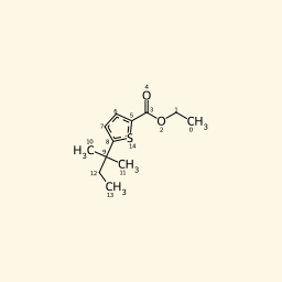 CCOC(=O)c1ccc(C(C)(C)CC)s1